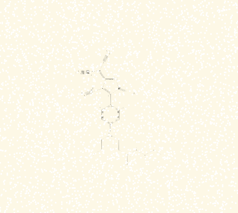 CCCCC(C)CCN(CCC)c1ccc(C2=C(C#N)C(=C(C#N)C#N)NC2=O)cc1